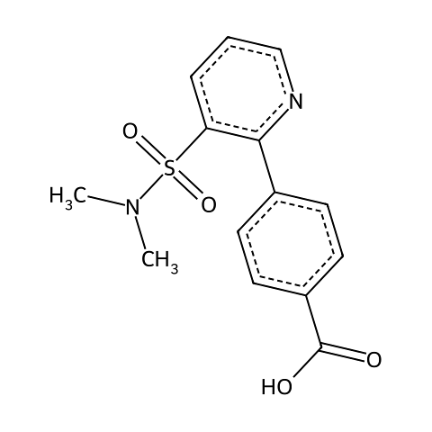 CN(C)S(=O)(=O)c1cccnc1-c1ccc(C(=O)O)cc1